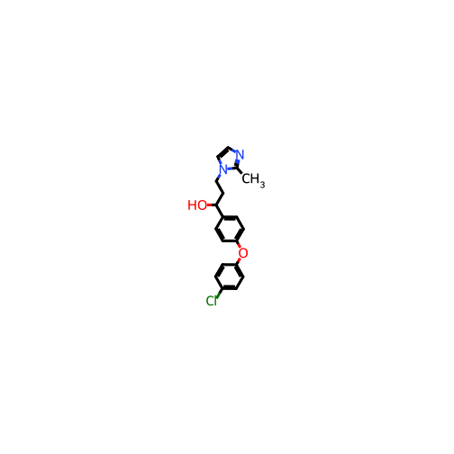 Cc1nccn1CCC(O)c1ccc(Oc2ccc(Cl)cc2)cc1